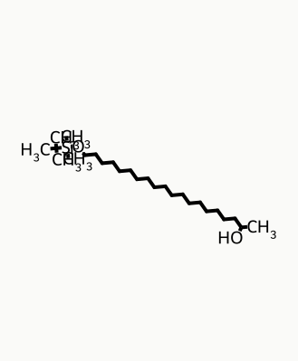 CC(O)CCCCCCCCCCCCCCCCCCO[Si](C)(C)C(C)(C)C